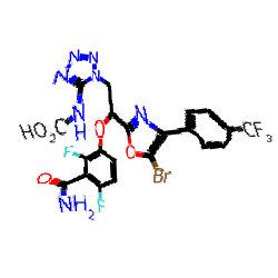 NC(=O)c1c(F)ccc(OC(Cn2nnnc2NC(=O)O)c2nc(-c3ccc(C(F)(F)F)cc3)c(Br)o2)c1F